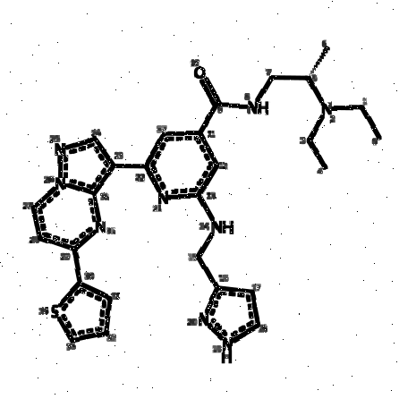 CCN(CC)[C@@H](C)CNC(=O)c1cc(NCc2cc[nH]n2)nc(-c2cnn3ccc(-c4cccs4)nc23)c1